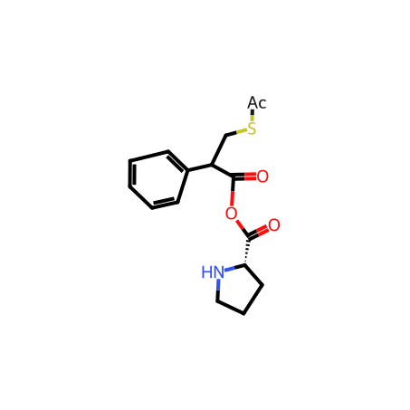 CC(=O)SCC(C(=O)OC(=O)[C@@H]1CCCN1)c1ccccc1